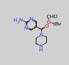 CC(C)(C)OC=O.Nc1ncc(C(=O)N2CCNCC2)cn1